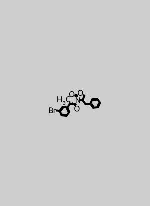 C[C@H](C(=O)N1C(=O)OCC1Cc1ccccc1)c1cccc(Br)c1